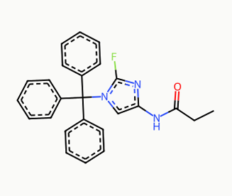 CCC(=O)Nc1cn(C(c2ccccc2)(c2ccccc2)c2ccccc2)c(F)n1